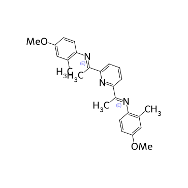 COc1ccc(/N=C(\C)c2cccc(/C(C)=N/c3ccc(OC)cc3C)n2)c(C)c1